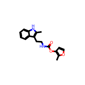 Cc1[nH]c2ccccc2c1CCNC(=O)Oc1ccoc1C